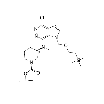 CN(c1nnc(Cl)c2ccn(COCC[Si](C)(C)C)c12)[C@@H]1CCCN(C(=O)OC(C)(C)C)C1